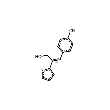 N#Cc1ccc(/C=C(\CO)c2cccs2)cc1